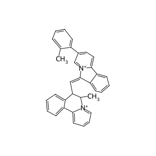 Cc1ccccc1-c1ccc2[n+](c1)/C(=C/C1c3ccccc3-c3cccc[n+]3C1C)c1ccccc1-2